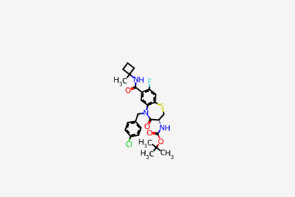 CC1(NC(=O)c2cc3c(cc2F)SC[C@H](NC(=O)OC(C)(C)C)C(=O)N3Cc2ccc(Cl)cc2)CCC1